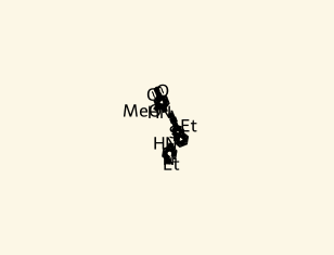 CCc1c(C#CCNc2ccc(S(C)(=O)=O)cc2OC)sc2c(NC3CCN(CC)CC3)cccc12